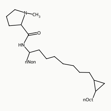 CCCCCCCCCC(CCCCCCCC1CC1CCCCCCCC)NC(=O)C1CCCN1C